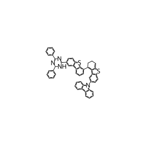 C1=c2sc3ccc(-n4c5ccccc5c5ccccc54)cc3c2=C(c2cccc3c2sc2ccc(C4=NC(c5ccccc5)=NC(c5ccccc5)N4)cc23)CC1